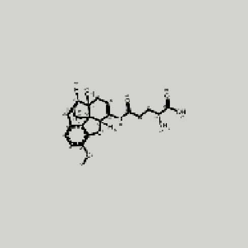 COc1ccc2c3c1O[C@H]1C(OC(=O)CC[C@H](N)C(=O)O)=CC[C@@]4(O)[C@@H](C2)NCC[C@]314